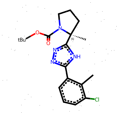 Cc1c(Cl)cccc1-c1nnc([C@]2(C)CCCN2C(=O)OC(C)(C)C)[nH]1